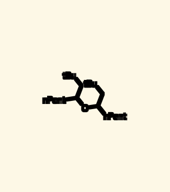 CCCCCC(CC(C)(C)C)OC(CCCCC)CC(C)(C)C